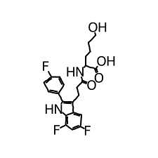 O=C(CCc1c(-c2ccc(F)cc2)[nH]c2c(F)cc(F)cc12)NC(CCCCO)C(=O)O